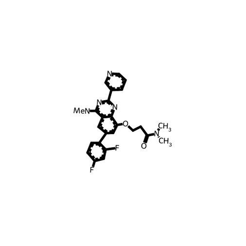 CNc1nc(-c2cccnc2)nc2c(OCCC(=O)N(C)C)cc(-c3ccc(F)cc3F)cc12